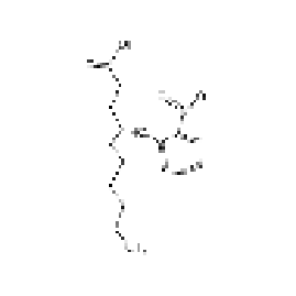 CCCCCCCCCC(=O)O.O=[N+]([O-])c1ccccc1O